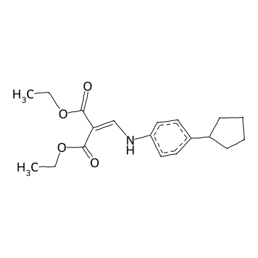 CCOC(=O)C(=CNc1ccc(C2CCCC2)cc1)C(=O)OCC